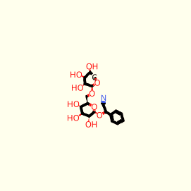 N#CC(O[C@@H]1O[C@H](CO[C@@H]2OC[C@H](O)[C@H](O)[C@H]2O)[C@@H](O)[C@H](O)[C@H]1O)c1ccccc1